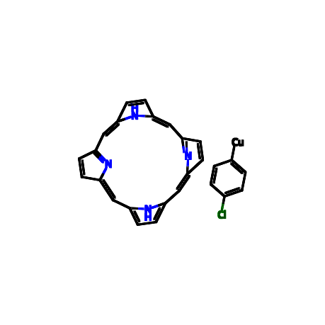 C1=Cc2cc3ccc(cc4nc(cc5ccc(cc1n2)[nH]5)C=C4)[nH]3.Clc1cc[c]([Cu])cc1